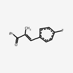 C/C(=C\c1ccc(F)cc1)C(=O)C(C)C